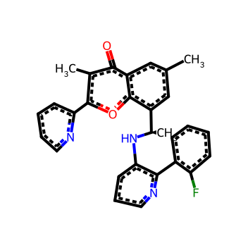 Cc1cc([C@@H](C)Nc2cccnc2-c2ccccc2F)c2oc(-c3ccccn3)c(C)c(=O)c2c1